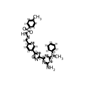 Cc1ccc(S(=O)(=O)NN=Cc2ccc(-c3nc(-c4nc(N)nc(N(C)c5ccccc5)n4)no3)cn2)cc1